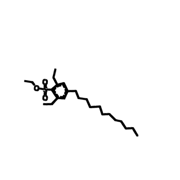 CCCCCCCCCCCCc1cc(CC)c(S(=O)(=O)OCC)c(CC)c1